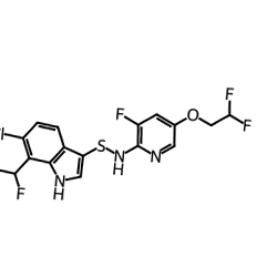 Fc1cc(OCC(F)F)cnc1NSc1c[nH]c2c(C(F)F)c(Cl)ccc12